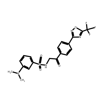 CN(C)c1cccc(S(=O)(=O)NCC(=O)c2ccc(-c3noc(C(F)(F)F)n3)cc2)c1